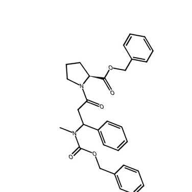 CN(C(=O)OCc1ccccc1)C(CC(=O)N1CCC[C@H]1C(=O)OCc1ccccc1)c1ccccc1